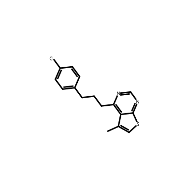 Cc1csc2ncnc(CCCc3ccc(Cl)cc3)c12